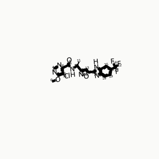 COc1ncnc(C(=O)N[C@@H](C)c2cc(-c3nc4ccc(C(F)(F)F)cc4[nH]3)on2)c1Cl